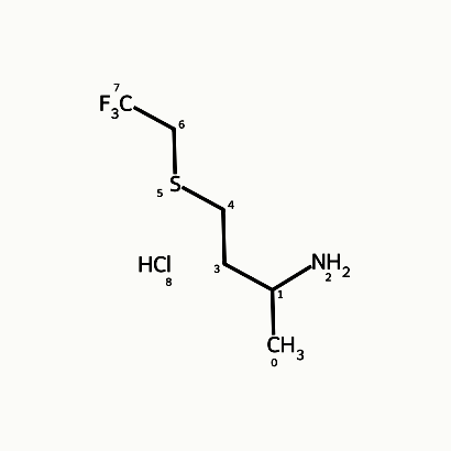 CC(N)CCSCC(F)(F)F.Cl